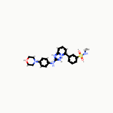 CC(C)(C)NS(=O)(=O)c1cccc(-c2cccc3nc(Nc4ccc(N5CCOCC5)cc4)nn23)c1